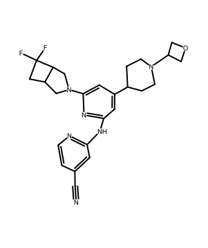 N#Cc1ccnc(Nc2cc(C3CCN(C4COC4)CC3)cc(N3CC4CC(F)(F)C4C3)n2)c1